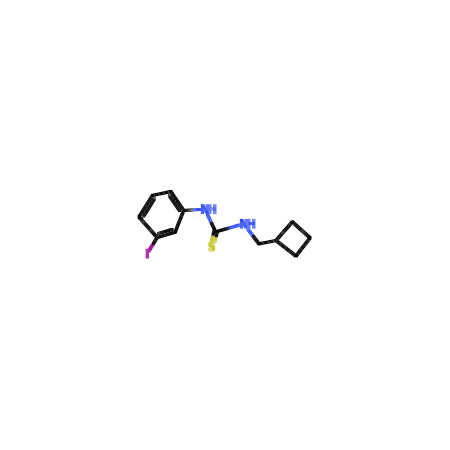 S=C(NCC1CCC1)Nc1cccc(I)c1